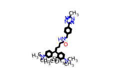 Cc1nnc(-c2ccc(CNC(=O)CCC=C3c4ccc(N(C)C)cc4[Si](C)(C)c4cc(N(C)C)ccc43)cc2)nn1